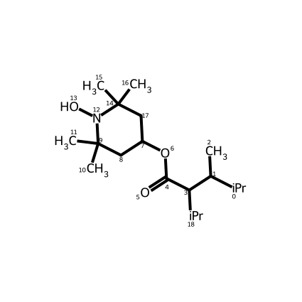 CC(C)C(C)C(C(=O)OC1CC(C)(C)N(O)C(C)(C)C1)C(C)C